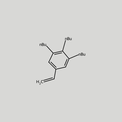 C=Cc1cc(CCCC)c(CCCC)c(CCCC)c1